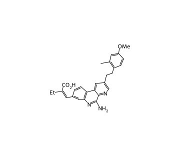 CCC(=Cc1ccc2c(c1)nc(N)c1ncc(CCc3ccc(OC)cc3C)cc12)C(=O)O